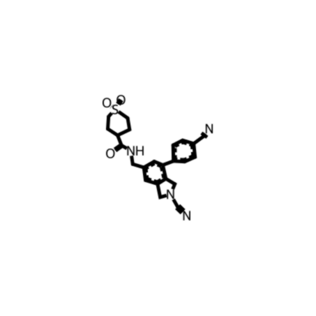 N#Cc1ccc(-c2cc(CNC(=O)C3CCS(=O)(=O)CC3)cc3c2CN(C#N)C3)cc1